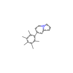 Cc1c(C)c(C)c(-c2ccn3cccc3c2)c(C)c1C